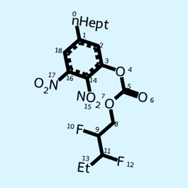 CCCCCCCc1cc(OC(=O)OCC(F)C(F)CC)c([N+](=O)[O-])c([N+](=O)[O-])c1